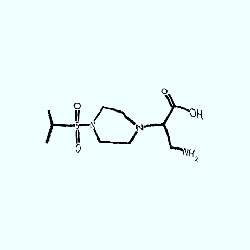 CC(C)S(=O)(=O)N1CCN(C(CN)C(=O)O)CC1